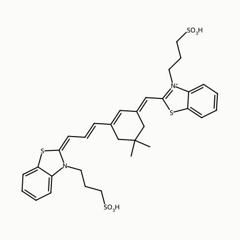 CC1(C)CC(C=CC=C2Sc3ccccc3N2CCCS(=O)(=O)O)=CC(=Cc2sc3ccccc3[n+]2CCCS(=O)(=O)O)C1